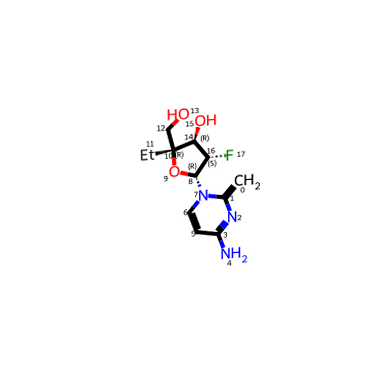 C=C1N=C(N)C=CN1[C@@H]1O[C@](CC)(CO)[C@@H](O)[C@@H]1F